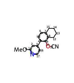 COc1cc(-c2ccc3c(c2OC#N)CCCC3)ccn1